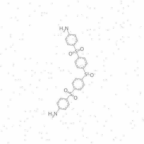 Nc1ccc(S(=O)(=O)c2ccc([S+]([O-])c3ccc(S(=O)(=O)c4ccc(N)cc4)cc3)cc2)cc1